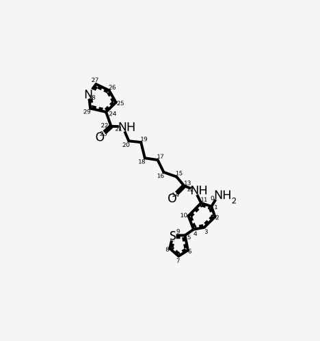 Nc1ccc(-c2cccs2)cc1NC(=O)CCCCCCNC(=O)c1cccnc1